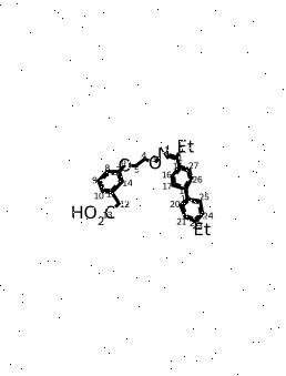 CCC(=NOCCOc1cccc(CC(=O)O)c1)c1ccc(-c2ccc(CC)cc2)cc1